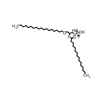 CCCCCCCCCCCCCCCCCCOCC(COP(=O)(O)O)OC(=O)CCCCCCCCCCCCCCC